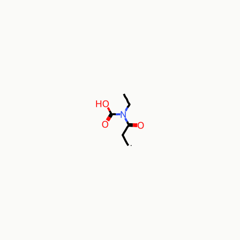 [CH2]CC(=O)N(CC)C(=O)O